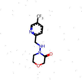 O=C1COCCN1NCc1ccc(C(F)(F)F)cn1